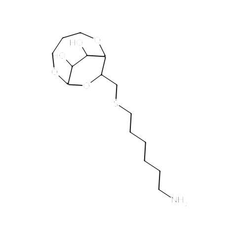 NCCCCCCSCC1OC2OCCCOC1C(O)C2O